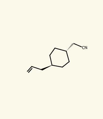 C=CC[C@H]1CC[C@H](CC#N)CC1